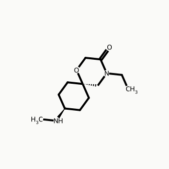 CCN1C[C@]2(CC[C@H](NC)CC2)OCC1=O